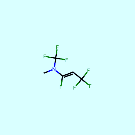 CN(/C(F)=C/C(F)(F)F)C(F)(F)F